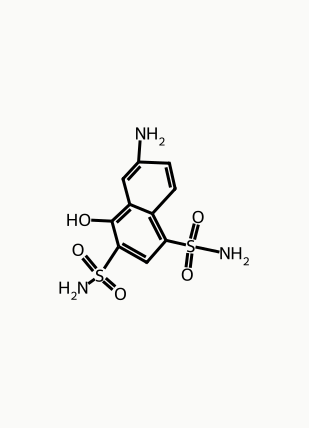 Nc1ccc2c(S(N)(=O)=O)cc(S(N)(=O)=O)c(O)c2c1